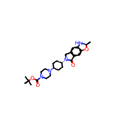 CC1Nc2cc3c(cc2O1)C(=O)N([C@H]1CC[C@H](N2CCN(C(=O)OC(C)(C)C)CC2)CC1)C3